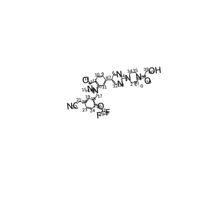 C[C@@H]1CN(c2ncc(-c3ccc4c(=O)n(C)n(Cc5cc(CC#N)ccc5OC(F)F)c4c3)cn2)CCN1C(=O)CO